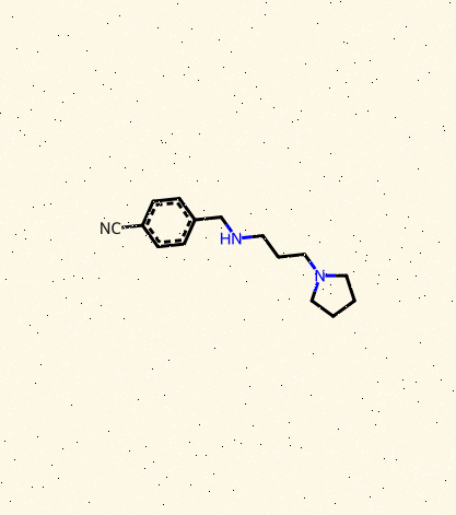 N#Cc1ccc(CNCCCN2CCCC2)cc1